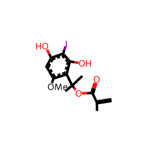 C=C(C)C(=O)OC(C)(C)c1c(OC)cc(O)c(I)c1O